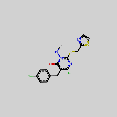 CCNn1c(SCc2nccs2)ncc(Cc2ccc(Cl)cc2)c1=O.Cl